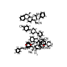 CN(Cc1ccccc1)c1nccc(N(CC#N)[C@@H](Cc2ccccc2)C(N)=O)n1.COc1ccccc1C(C#N)N(C(=O)[C@@](CC1CCCCC1)(c1ccnc(N2CCOCC2)n1)N(CC#N)c1ccnc(N2CCN(c3ccc(Cl)cc3)CC2)n1)[C@@](Cc1ccccc1)(C(N)=O)N(CC#N)c1ccnc(NCc2ccccc2)n1